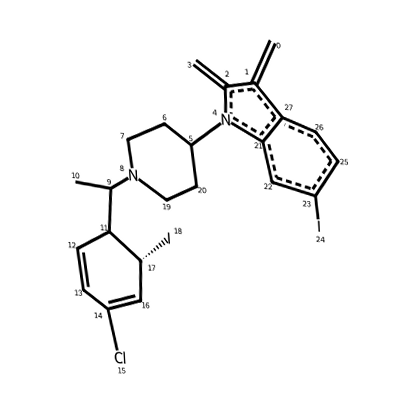 C=c1c(=C)n(C2CCN(C(C)C3C=CC(Cl)=C[C@H]3I)CC2)c2cc(I)ccc12